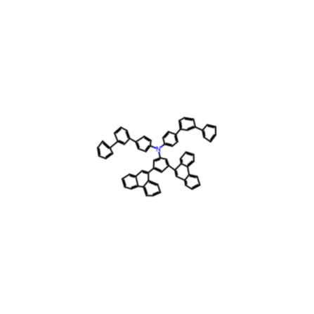 c1ccc(-c2cccc(-c3ccc(N(c4ccc(-c5cccc(-c6ccccc6)c5)cc4)c4cc(-c5cc6ccccc6c6ccccc56)cc(-c5cc6ccccc6c6ccccc56)c4)cc3)c2)cc1